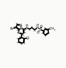 Cc1cccc(S(=O)(=O)NCCCNc2cc(-c3ccccc3Cl)nc3c(Br)cnn23)c1